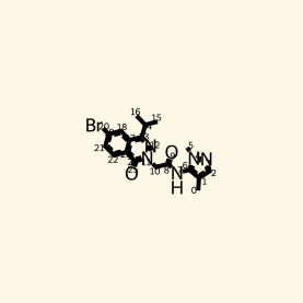 Cc1cnn(C)c1NC(=O)Cn1nc(C(C)C)c2cc(Br)ccc2c1=O